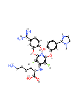 CN1CCN=C1c1cccc(Oc2nc(Oc3cc(C(=N)N)ccc3O)c(F)c(NC(CCCCN)C(=O)O)c2F)c1